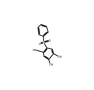 N#Cc1cc([NH])c(S(=O)(=O)c2ccccc2)cc1C#N